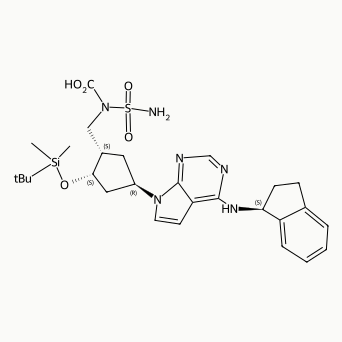 CC(C)(C)[Si](C)(C)O[C@H]1C[C@H](n2ccc3c(N[C@H]4CCc5ccccc54)ncnc32)C[C@H]1CN(C(=O)O)S(N)(=O)=O